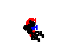 CCOC(OCC)c1cccc(C2Nc3cccc(C(=O)O)c3C(=O)C2c2ccccc2)c1